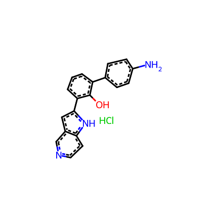 Cl.Nc1ccc(-c2cccc(-c3cc4cnccc4[nH]3)c2O)cc1